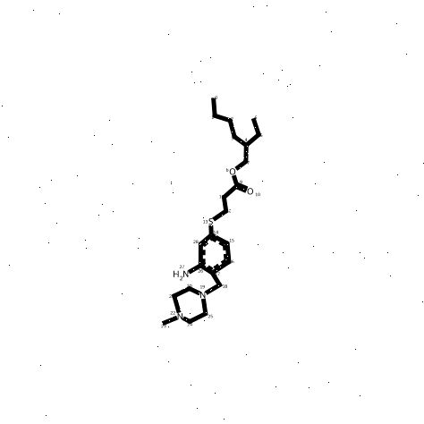 CCCCC(CC)COC(=O)CCSc1ccc(CN2CCN(C)CC2)c(N)c1